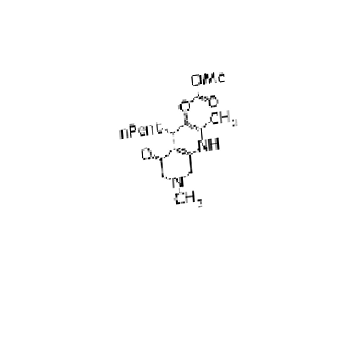 CCCCCC1C(OC(=O)OC)=C(C)NC2=C1C(=O)CN(C)C2